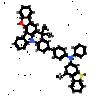 CC1CC(N(c2ccccc2)c2ccc(-c3ccc4c(c3)C(C)(C)c3cc5c6ccccc6oc5c5c6ccccc6n-4c35)cc2)=Cc2sc3ccccc3c21